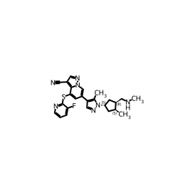 CNC[C@@H]1C[C@@H](n2ncc(-c3cc(Sc4ncccc4F)c4c(C#N)cnn4c3)c2C)C[C@@H]1C